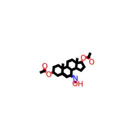 CC(=O)OC1CCC2(C)C(=C/C(=N\O)C3C2CCC2(C)C(OC(C)=O)CCC32)C1